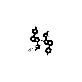 Cc1ccc(-c2cccc3c2C=[C]([Zr+2][C]2=Cc4c(-c5ccc(C)cc5)cccc4C2c2ccc(C)s2)C3c2ccc(C)s2)cc1.[Cl-].[Cl-]